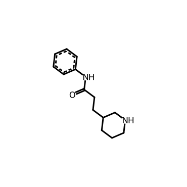 O=C(CCC1CCCNC1)Nc1ccccc1